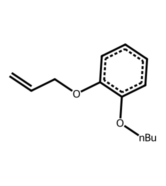 C=CCOc1ccccc1OCCCC